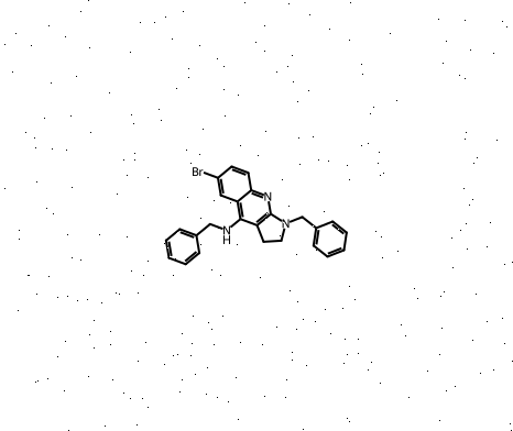 Brc1ccc2nc3c(c(NCc4ccccc4)c2c1)CCN3Cc1ccccc1